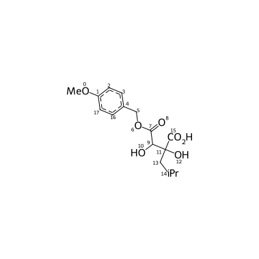 COc1ccc(COC(=O)C(O)C(O)(CC(C)C)C(=O)O)cc1